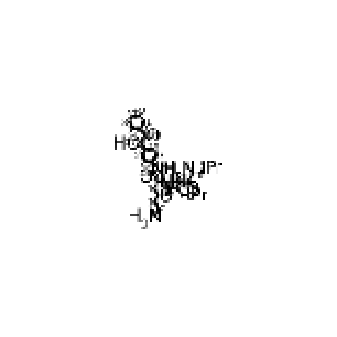 CC(C)C[C@H](NC(=O)[C@@H](N)CC(C)C)C(=O)N[C@@H](CCCCN)C(=O)Nc1ccc(C(O)C(=O)c2ccccc2)cc1